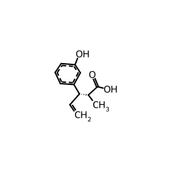 C=C[C@H](c1cccc(O)c1)C(C)C(=O)O